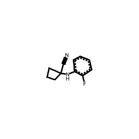 N#CC1(Nc2ccccc2F)CCC1